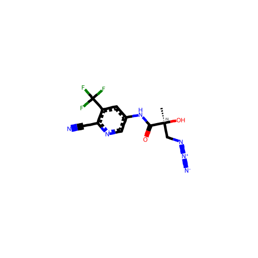 C[C@](O)(CN=[N+]=[N-])C(=O)Nc1cnc(C#N)c(C(F)(F)F)c1